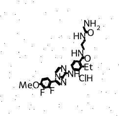 CCc1cc(Nc2nccn3c(-c4ccc(OC)c(F)c4F)cnc23)ccc1C(=O)NCCCNC(=O)CN.Cl